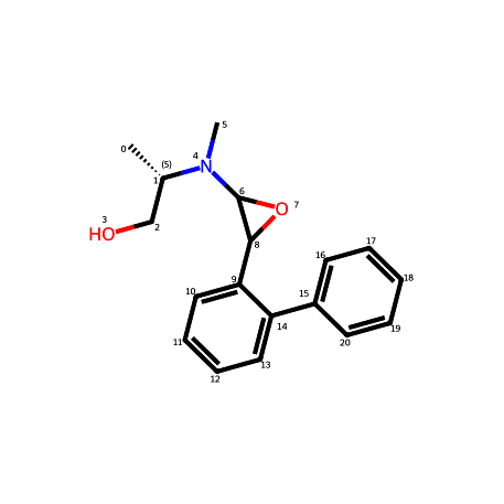 C[C@@H](CO)N(C)C1OC1c1ccccc1-c1ccccc1